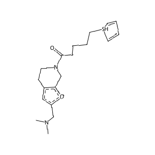 CN(C)Cc1cc2c(o1)CN(C(=O)CCCC[SH]1C=CC=C1)CC2